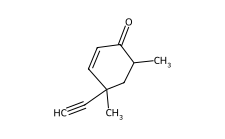 C#CC1(C)C=CC(=O)C(C)C1